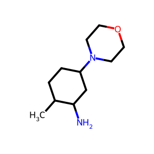 CC1CCC(N2CCOCC2)CC1N